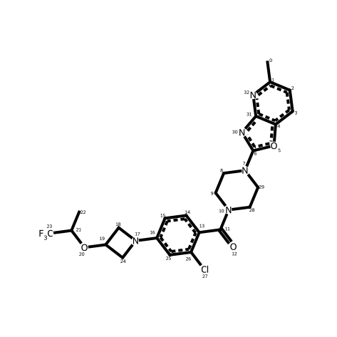 Cc1ccc2oc(N3CCN(C(=O)c4ccc(N5CC(OC(C)C(F)(F)F)C5)cc4Cl)CC3)nc2n1